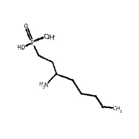 CCCCCC(N)CCP(=O)(O)O